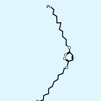 CC(C)CCCCCCCCCCOC(=O)/C=C\C(=O)OCCCCCCCCCCC(C)C